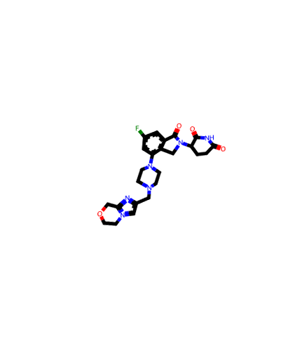 O=C1CCC(N2Cc3c(cc(F)cc3N3CCN(Cc4cn5c(n4)COCC5)CC3)C2=O)C(=O)N1